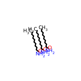 CCCCCCCCCCCC(N)=O.CCCCCCCCCCCC(N)=O.CCCCCCCCCCCC(N)=O